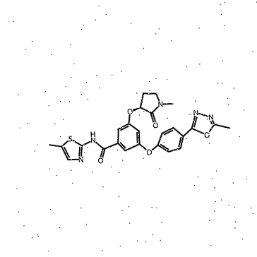 Cc1nnc(-c2ccc(Oc3cc(O[C@H]4CCN(C)C4=O)cc(C(=O)Nc4ncc(C)s4)c3)cc2)o1